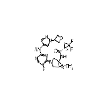 C[C@@H]1C2CN(c3nc(Nc4cnn(C5COC5)c4)ncc3F)CC21NC(=O)[C@@H]1CC1(F)F